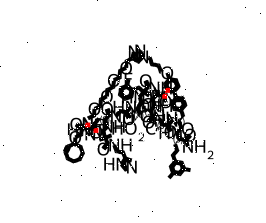 CCc1cc(OCCCCn2cc(COCCOCCOCCOCCNC(=O)COC3C#CCCCCC3)nn2)ccc1-c1ccc(C[C@H](NC(=O)[C@H](CC(=O)O)NC(=O)[C@H](CO)NC(=O)[C@@H](NC(=O)C(C)(Cc2ccccc2F)NC(=O)[C@@H](NC(=O)CNC(=O)[C@H](Cc2nn[nH]n2)NC(=O)C(C)(C)C(=O)NCCc2cnc[nH]2)[C@@H](C)O)[C@@H](C)O)C(=O)N[C@@H](CCCc2cc(C)cc(C)c2)C(N)=O)cc1